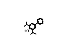 CC(C)c1cc(-c2ccccc2)cc(C(C)C)c1O